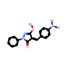 CCOC1=NN(c2ccccc2)C(=O)/C1=C/c1ccc(N(CC)CC)cc1